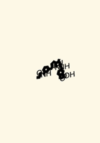 C=CC(=O)Nc1cccc(CN2CCc3c(C)nc(Nc4ccc5c(c4)N(O)OC5)nc32)c1